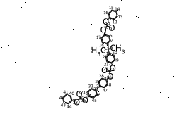 CC(C)(c1ccc(OC(=O)Oc2ccccc2)cc1)c1ccc(OC(=O)Oc2ccc(-c3ccc(OC(=O)Oc4ccccc4)cc3)cc2)cc1